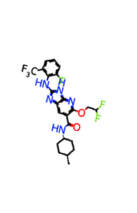 C[C@H]1CC[C@H](NC(=O)c2cc3nc(Nc4c(F)cccc4C(F)(F)F)[nH]c3nc2OCC(F)F)CC1